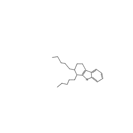 CCCCCC1CCC2=C([N]c3ccccc32)C1CCCCC